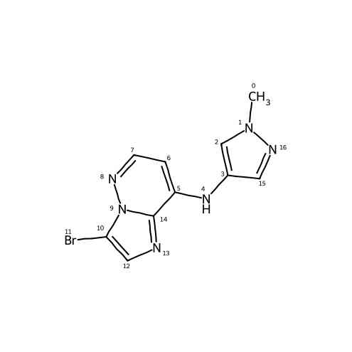 Cn1cc(Nc2ccnn3c(Br)cnc23)cn1